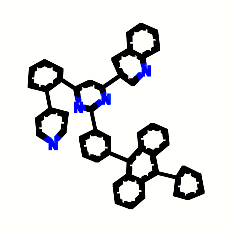 c1ccc(-c2c3ccccc3c(-c3cccc(-c4nc(-c5cnc6ccccc6c5)cc(-c5ccccc5-c5ccncc5)n4)c3)c3ccccc23)cc1